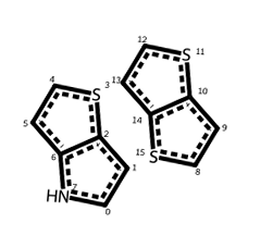 c1cc2sccc2[nH]1.c1cc2sccc2s1